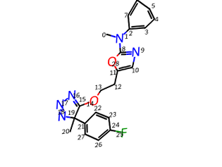 CN(c1ccccc1)c1ncc(CCOC2=NN=NC2(C)c2ccc(F)cc2)o1